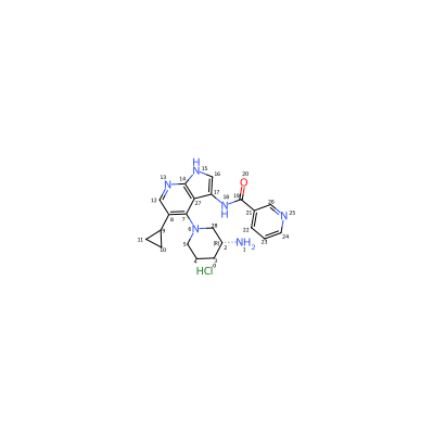 Cl.N[C@@H]1CCCN(c2c(C3CC3)cnc3[nH]cc(NC(=O)c4cccnc4)c23)C1